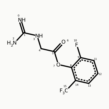 N=C(N)NCC(=O)Oc1c(F)cccc1C(F)(F)F